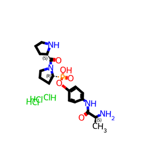 C[C@H](N)C(=O)Nc1ccc(OP(=O)(O)[C@@H]2CCCN2C(=O)[C@@H]2CCCN2)cc1.Cl.Cl.Cl